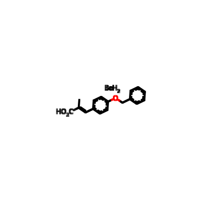 CC(=Cc1ccc(OCc2ccccc2)cc1)C(=O)O.[BeH2]